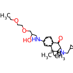 CCOCCOCC(O)CNc1ccc2c(c1)[C@]1(C)CCN(CC3CC3)C(C2=O)[C@@H]1C